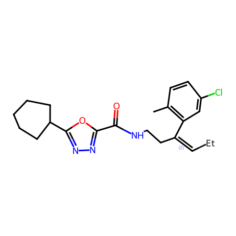 CC/C=C(/CCNC(=O)c1nnc(C2CCCCC2)o1)c1cc(Cl)ccc1C